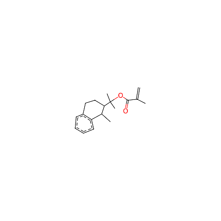 C=C(C)C(=O)OC(C)(C)C1CCc2ccccc2C1C